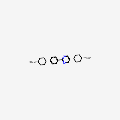 CCCCCCCCC[C@H]1CC[C@H](c2cnc(-c3ccc([C@H]4CC[C@H](CCCCCC)CC4)cc3)nc2)CC1